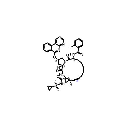 O=C(N[C@H]1CCCCC/C=C\[C@@H]2C[C@@]2(C(=O)NS(=O)(=O)C2CC2)NC(=O)[C@@H]2C[C@@H](Oc3nc4ncncc4c4ccccc34)CN2C1=O)c1ccccc1F